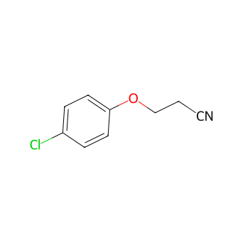 N#CCCOc1ccc(Cl)cc1